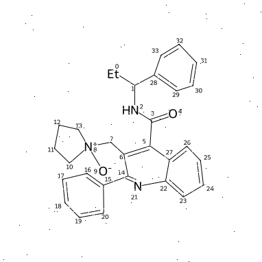 CCC(NC(=O)c1c(C[N+]2([O-])CCCC2)c(-c2ccccc2)nc2ccccc12)c1ccccc1